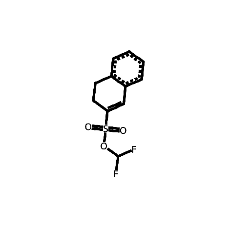 O=S(=O)(OC(F)F)C1=Cc2ccccc2CC1